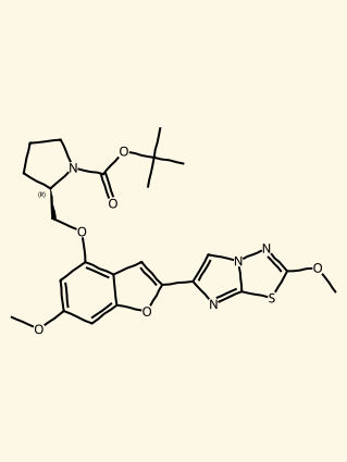 COc1cc(OC[C@H]2CCCN2C(=O)OC(C)(C)C)c2cc(-c3cn4nc(OC)sc4n3)oc2c1